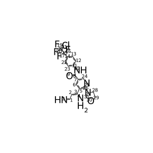 N=C/C=C(\N)c1cc(C(=O)Nc2ccc(C(F)(F)C(F)(F)Cl)cc2)cnc1N1CCOC1